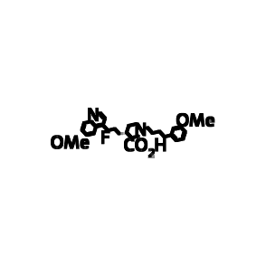 COc1cccc(CCCCN2CC[C@@H](CCC(F)c3ccnc4ccc(OC)cc34)[C@@H](C(=O)O)C2)c1